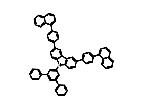 c1ccc(-c2cc(-c3ccccc3)cc(-n3c4ccc(-c5ccc(-c6cccc7ccccc67)cc5)cc4c4cc(-c5ccc(-c6cccc7ccccc67)cc5)ccc43)c2)cc1